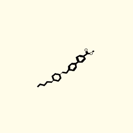 CCCCC[C@H]1CC[C@H](CCc2ccc(-c3ccc(C(=O)OC)cc3)cc2)CC1